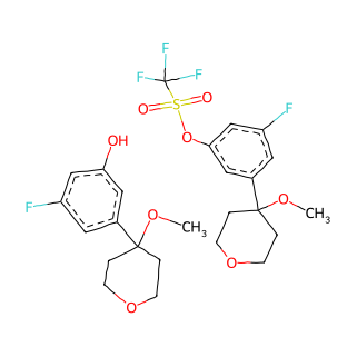 COC1(c2cc(F)cc(OS(=O)(=O)C(F)(F)F)c2)CCOCC1.COC1(c2cc(O)cc(F)c2)CCOCC1